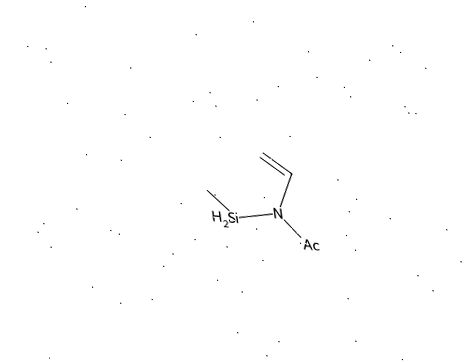 C=CN([SiH2]C)C(C)=O